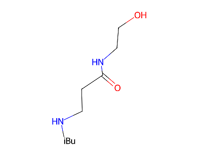 CCC(C)NCCC(=O)NCCO